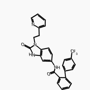 O=C(Nc1ccc2c(c1)[nH]c(=O)n2CCc1ccccn1)c1ccccc1-c1ccc(C(F)(F)F)cc1